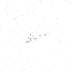 C[Si](C)(C)CCOCN(N)C(=O)c1ccc(=O)[nH]c1Cl